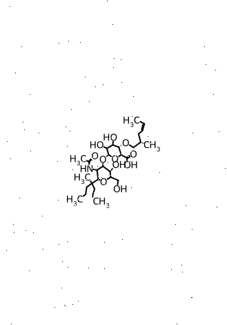 C/C=C\C[C@H](C)CO[C@@H]1C(C(=O)O)O[C@@H](OC2C(NC(C)=O)C(C(C)(CCC)CCC)OC(CO)[C@@H]2O)C(O)C1O